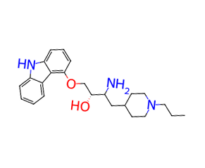 CCCN1CCC(CC(N)[C@H](O)COc2cccc3[nH]c4ccccc4c23)CC1